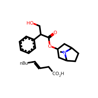 CCCCC=CCC(=O)O.CN1C2CCC1CC(OC(=O)C(CO)c1ccccc1)C2